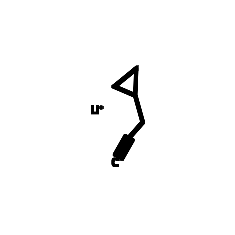 [C-]#CCC1CC1.[Li+]